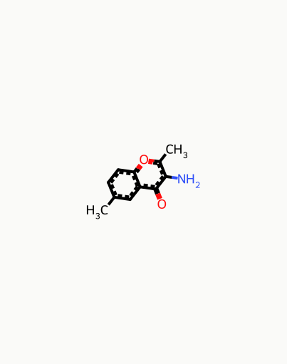 Cc1ccc2oc(C)c(N)c(=O)c2c1